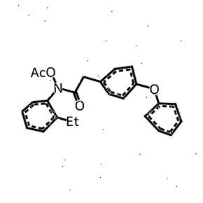 CCc1ccccc1N(OC(C)=O)C(=O)Cc1ccc(Oc2ccccc2)cc1